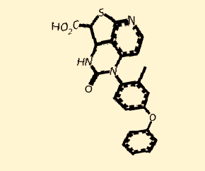 Cc1cc(Oc2ccccc2)ccc1N1C(=O)NC2c3c1ccnc3SC2C(=O)O